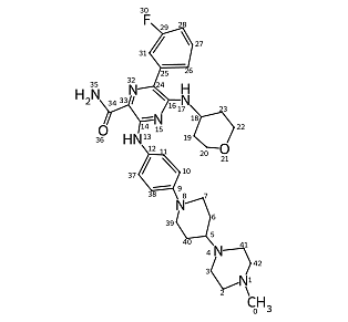 CN1CCN(C2CCN(c3ccc(Nc4nc(NC5CCOCC5)c(-c5cccc(F)c5)nc4C(N)=O)cc3)CC2)CC1